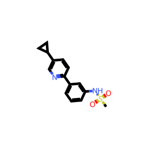 CS(=O)(=O)Nc1cccc(-c2ccc(C3CC3)cn2)c1